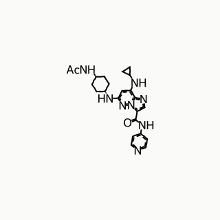 CC(=O)N[C@H]1CC[C@H](Nc2cc(NC3CC3)c3ncc(C(=O)Nc4ccncc4)n3n2)CC1